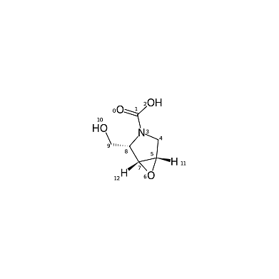 O=C(O)N1C[C@@H]2O[C@@H]2[C@@H]1CO